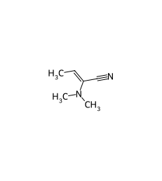 CC=C(C#N)N(C)C